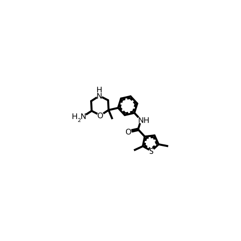 Cc1cc(C(=O)Nc2cccc(C3(C)CNCC(N)O3)c2)c(C)s1